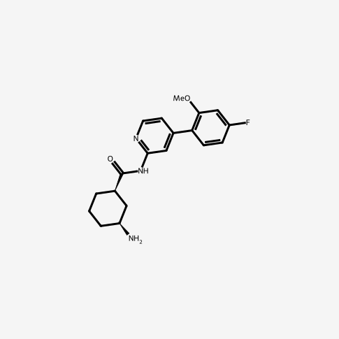 COc1cc(F)ccc1-c1ccnc(NC(=O)[C@@H]2CCC[C@H](N)C2)c1